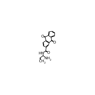 C=CC(N)NC(=O)c1ccc2c(c1)C(=O)c1ccccc1C2=O